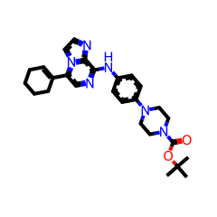 CC(C)(C)OC(=O)N1CCN(c2ccc(Nc3ncc(C4=CCCCC4)n4ccnc34)cc2)CC1